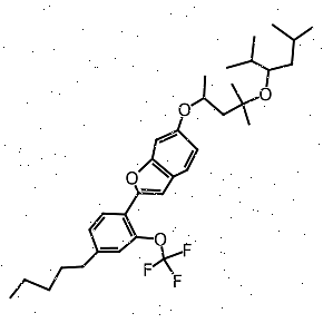 CCCCCc1ccc(-c2cc3ccc(OC(C)CC(C)(C)OC(CC(C)C)C(C)C)cc3o2)c(OC(F)(F)F)c1